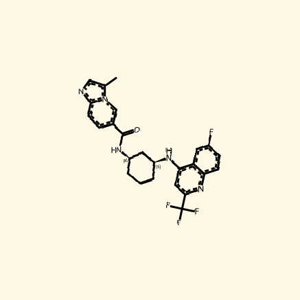 Cc1cnc2ccc(C(=O)N[C@@H]3CCC[C@H](Nc4cc(C(F)(F)F)nc5ccc(F)cc45)C3)cn12